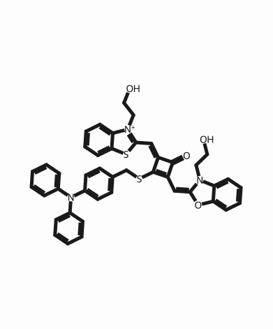 O=C1C(/C=C2/Oc3ccccc3N2CCO)=C(SCc2ccc(N(c3ccccc3)c3ccccc3)cc2)C/1=C\c1sc2ccccc2[n+]1CCO